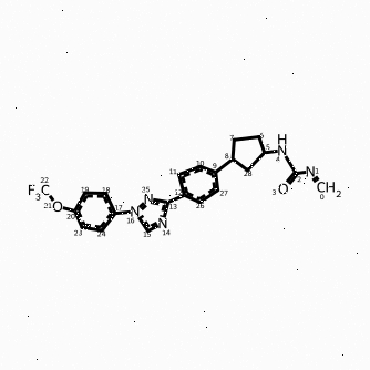 C=NC(=O)NC1CCC(c2ccc(-c3ncn(-c4ccc(OC(F)(F)F)cc4)n3)cc2)C1